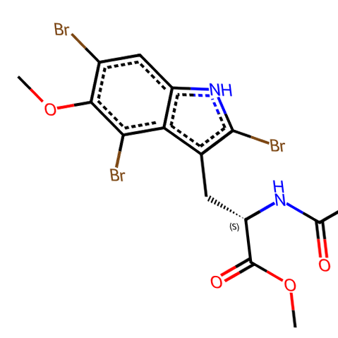 COC(=O)[C@H](Cc1c(Br)[nH]c2cc(Br)c(OC)c(Br)c12)NC(C)=O